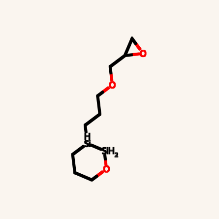 C(COCC1CO1)C[SiH]1CCCO[SiH2]1